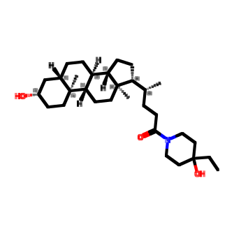 CCC1(O)CCN(C(=O)CC[C@@H](C)[C@H]2CC[C@H]3[C@@H]4CC[C@H]5C[C@@H](O)CC[C@]5(C)[C@H]4CC[C@]23C)CC1